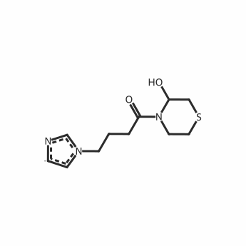 O=C(CCCn1c[c]nc1)N1CCSCC1O